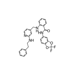 O=C(Nc1ccc2c(c1)OC(F)(F)O2)c1ccccc1NCc1ccnc(NCCc2ccccc2)c1